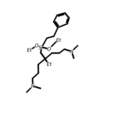 CCO[Si](CCc1ccccc1)(CC(CC)(CCCN(C)C)CCCN(C)C)OCC